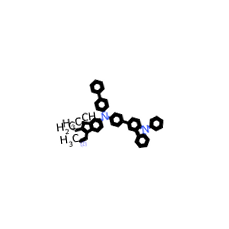 C=CC1=C(/C=C\C)c2ccc(N(c3ccc(-c4ccccc4)cc3)c3ccc(-c4ccc5c(c4)c4ccccc4n5-c4ccccc4)cc3)cc2C1(C)C